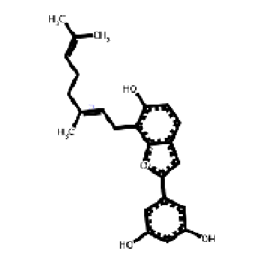 CC(C)=CCC/C(C)=C/Cc1c(O)ccc2cc(-c3cc(O)cc(O)c3)oc12